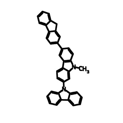 Cn1c2ccc(-c3ccc4c(c3)Cc3ccccc3-4)cc2c2ccc(-n3c4ccccc4c4ccccc43)cc21